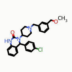 COCc1cccc(CN2CCC(N3C(=O)Nc4ccccc4C3c3ccc(Cl)cc3)CC2)c1